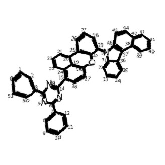 c1ccc(-c2nc(-c3ccccc3)nc(-c3ccc4c5c(cccc35)-c3cccc(-n5c6ccccc6c6c7ccccc7ccc65)c3O4)n2)cc1